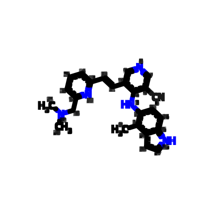 Cc1c(Nc2c(C#N)cncc2C=Cc2cccc(CN(C)C)n2)ccc2[nH]ccc12